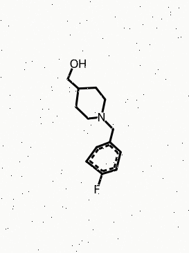 OCC1CCN(Cc2ccc(F)cc2)CC1